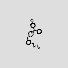 NCc1cccc(CN2CCN(C(c3ccccc3)c3ccc(Cl)cc3)CC2)c1